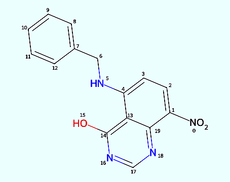 O=[N+]([O-])c1ccc(NCc2ccccc2)c2c(O)ncnc12